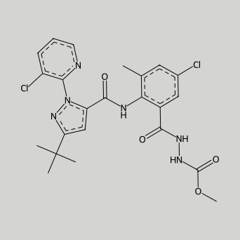 COC(=O)NNC(=O)c1cc(Cl)cc(C)c1NC(=O)c1cc(C(C)(C)C)nn1-c1ncccc1Cl